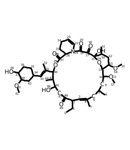 CCC1/C=C(\C)CC(C)CC(OC)C2OC(O)(C(=O)C(=O)N3C=CCCC3C(=O)OC(C(C)=CC3CCC(O)C(OC)C3)C(C)C(O)CC1=O)C(C)CC2OC